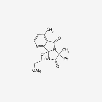 COCCOC12NC(=O)C(C)(C(C)C)N1C(=O)c1c(C)ccnc12